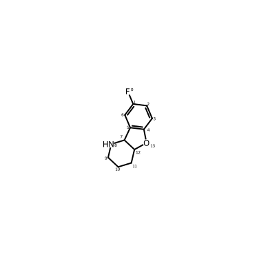 Fc1ccc2c(c1)C1NCCCC1O2